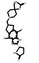 O=C1CC[C@@H](c2nc3c(F)c4c(c(F)c3[nH]2)CC(CN2CCC3(CC2)CNC(=O)O3)C4)N1